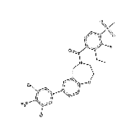 CCc1c(C(=O)N2CCOc3ccc(-c4cc(Cl)c(N)c(Cl)c4)cc3C2)ccc(S(C)(=O)=O)c1F